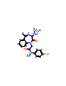 CCN(C(=O)CN1C(=O)C(NC(=O)O)N=C(C)c2ccccc21)c1ccc(F)cc1